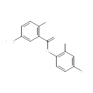 Nc1ccc(Cl)c(C(=O)Nc2ccc(F)cc2F)c1